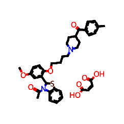 COc1ccc(OCCCCN2CCC(C(=O)c3ccc(C)cc3)CC2)c(C2Sc3ccccc3N2C(C)=O)c1.O=C(O)/C=C\C(=O)O